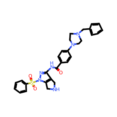 O=C(Nc1nn(S(=O)(=O)c2ccccc2)c2c1CNC2)c1ccc(N2CCN(Cc3ccccc3)CC2)cc1